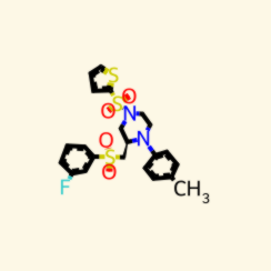 Cc1ccc(N2CCN(S(=O)(=O)c3cccs3)C[C@@H]2CS(=O)(=O)c2cccc(F)c2)cc1